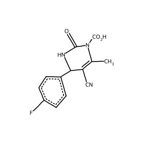 CC1=C(C#N)C(c2ccc(F)cc2)NC(=O)N1C(=O)O